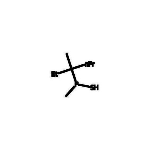 CCCC(C)(CC)P(C)S